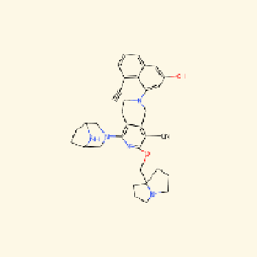 C#Cc1cccc2cc(O)cc(N3CCc4c(N5CC6CCC(C5)N6)nc(OCC56CCCN5CCC6)c(C#N)c4C3)c12